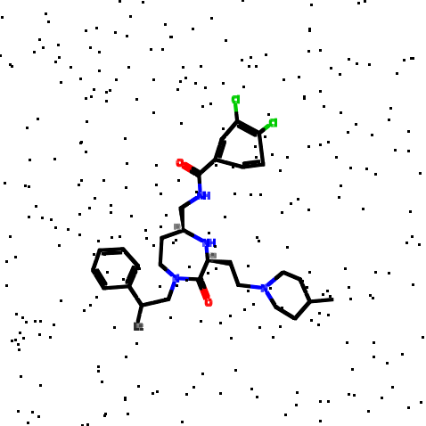 CCC(CN1CC[C@@H](CNC(=O)c2ccc(Cl)c(Cl)c2)N[C@@H](CCN2CCC(C)CC2)C1=O)c1ccccc1